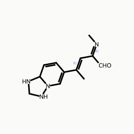 C/N=C(C=O)\C=C(/C)C1=CN2NCNC2C=C1